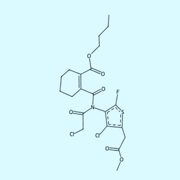 CCCCOC(=O)C1=C(C(=O)N(C(=O)CCl)c2c(F)sc(CC(=O)OC)c2Cl)CCCC1